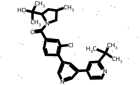 CC1CC(C(C)(C)O)N(C(=O)c2ccc(-c3cncc(-c4ccnc(C(C)(C)C)c4)c3)c(Cl)c2)C1